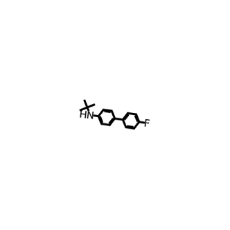 CC(C)(C)Nc1ccc(-c2ccc(F)cc2)cc1